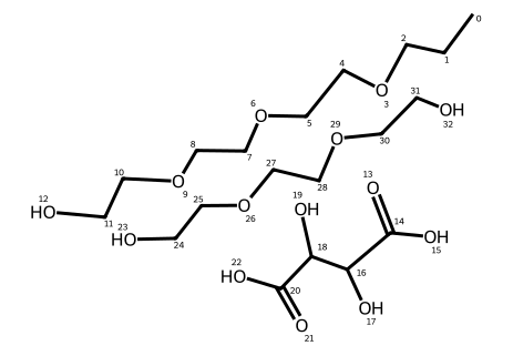 CCCOCCOCCOCCO.O=C(O)C(O)C(O)C(=O)O.OCCOCCOCCO